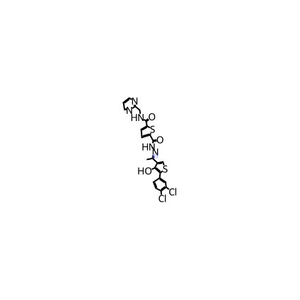 C/C(=N\NC(=O)c1ccc(C(=O)NCc2ncccn2)s1)c1csc(-c2ccc(Cl)c(Cl)c2)c1O